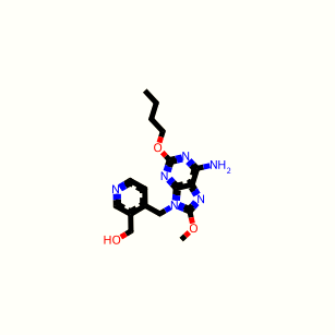 CCCCOc1nc(N)c2nc(OC)n(Cc3ccncc3CO)c2n1